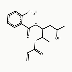 C=CC(=O)OC(C)C(CC(C)O)OC(=O)c1ccccc1C(=O)O